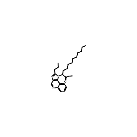 CCCCCCCCCCC(C(=O)O)n1c(CCC)nc2cnc3ccccc3c21